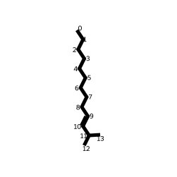 CCCCCCCCCC=CC(C)C